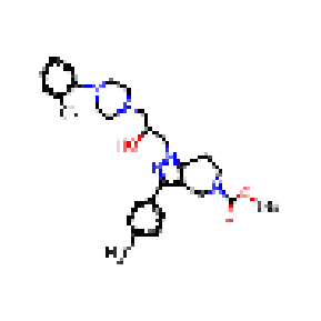 Cc1ccc(-c2nn(CC(O)CN3CCN(c4ccccc4C#N)CC3)c3c2CN(C(=O)OC(C)(C)C)CC3)cc1